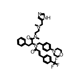 CN(CCN(C)C(=O)C(Cc1ccccc1)N(Cc1ccc(N2CCOCC2)cc1)C(=O)C=Cc1ccc(C(F)(F)F)cc1)Cc1cnc[nH]1